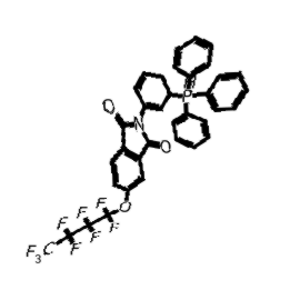 O=C1c2ccc(OC(F)(F)C(F)(F)C(F)(F)C(F)(F)F)cc2C(=O)N1C1=CC([PH](c2ccccc2)(c2ccccc2)c2ccccc2)CC=C1